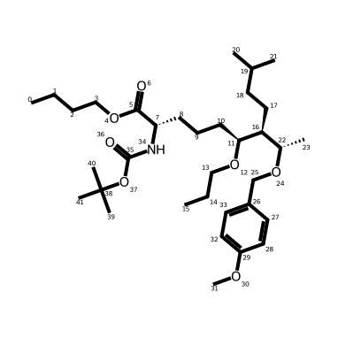 CCCCOC(=O)[C@H](CCC[C@H](OCCC)[C@@H](CCC(C)C)[C@H](C)OCc1ccc(OC)cc1)NC(=O)OC(C)(C)C